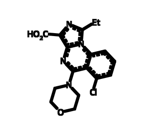 CCc1nc(C(=O)O)c2nc(N3CCOCC3)c3c(Cl)cccc3n12